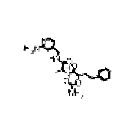 C[C@H](NC(=O)[C@@H](CCc1ccccc1)OC(N)=O)C(=O)NCc1ccnc(N)c1